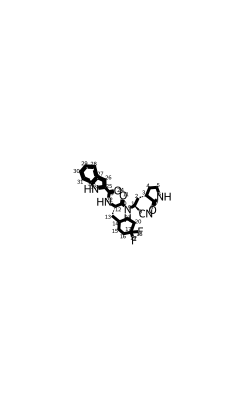 N#C[C@H](C[C@@H]1CCNC1=O)NC(=O)[C@H](CC1CCC(F)(F)CC1)NC(=O)c1cc2ccccc2[nH]1